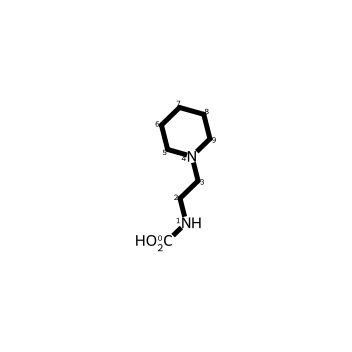 O=C(O)NCCN1CCCCC1